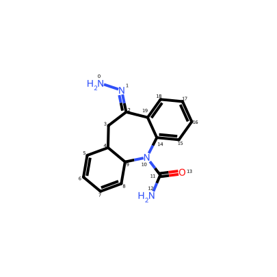 NN=C1CC2C=CC=CC2N(C(N)=O)c2ccccc21